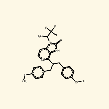 COc1ccc(CN(Cc2ccc(OC)cc2)c2nccc3c2[nH]c(=O)n3C(C)C(F)(F)F)cc1